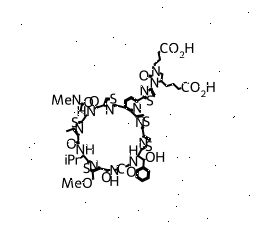 CNC(=O)C[C@@H]1NC(=O)c2csc(n2)-c2ccc(-c3nc(N4C(=O)N(CCCC(=O)O)CC4CCCC(=O)O)cs3)nc2-c2csc(n2)-c2csc(n2)[C@H]([C@@H](O)c2ccccc2)NC(=O)CNC(=O)c2nc(sc2COC)C(C(C)C)NC(=O)c2nc1sc2C